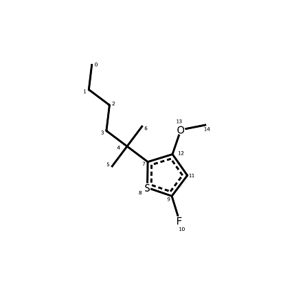 CCCCC(C)(C)c1sc(F)cc1OC